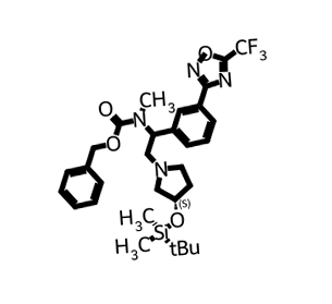 CN(C(=O)OCc1ccccc1)C(CN1CC[C@H](O[Si](C)(C)C(C)(C)C)C1)c1cccc(-c2noc(C(F)(F)F)n2)c1